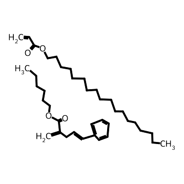 C=C(CC=Cc1ccccc1)C(=O)OCCCCCC.C=CC(=O)OCCCCCCCCCCCCCCCCCC